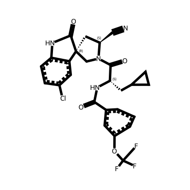 N#C[C@@H]1C[C@@]2(CN1C(=O)[C@H](CC1CC1)NC(=O)c1cccc(OC(F)(F)F)c1)C(=O)Nc1ccc(Cl)cc12